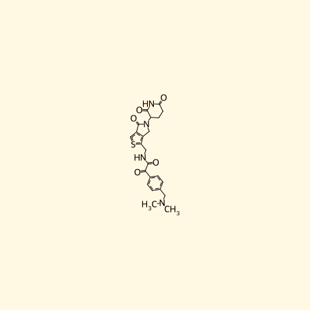 CN(C)Cc1ccc(C(=O)C(=O)NCc2scc3c2CN(C2CCC(=O)NC2=O)C3=O)cc1